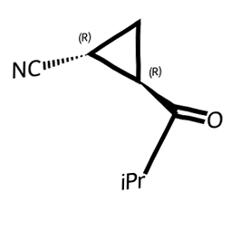 CC(C)C(=O)[C@@H]1C[C@H]1C#N